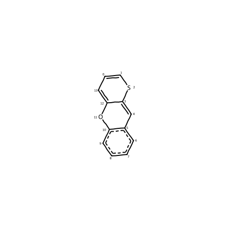 C1=CSC2=Cc3ccccc3OC2=C1